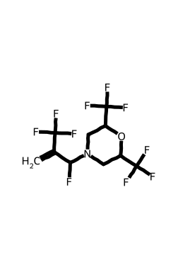 C=C(C(F)N1CC(C(F)(F)F)OC(C(F)(F)F)C1)C(F)(F)F